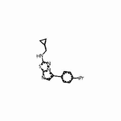 CC(C)c1ccc(-c2cnc3sc(NCC4CC4)nn23)cc1